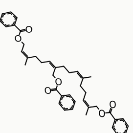 CC(=CCCC(=CCCC(C)=CCOC(=O)c1ccccc1)COC(=O)c1ccccc1)CCC=C(C)COC(=O)c1ccccc1